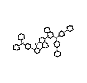 c1ccc(-c2ccc(N(c3ccc(-c4ccccc4)cc3)c3cc(-c4ccc5c6c(cccc46)-c4cccc(-c6ccc(N(c7ccccc7)c7ccccc7)cc6)c4O5)c4ccccc4c3)cc2)cc1